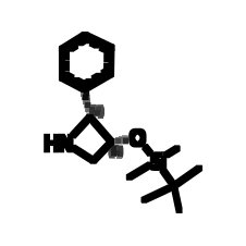 CC(C)(C)[Si](C)(C)O[C@@H]1CN[C@@H]1c1ccccc1